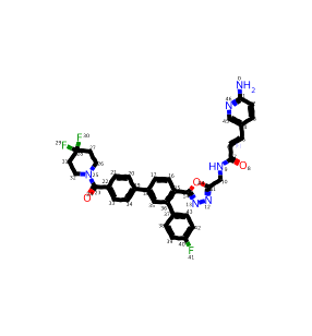 Nc1ccc(/C=C/C(=O)NCc2nnc(-c3ccc(-c4ccc(C(=O)N5CCC(F)(F)CC5)cc4)cc3-c3ccc(F)cc3)o2)cn1